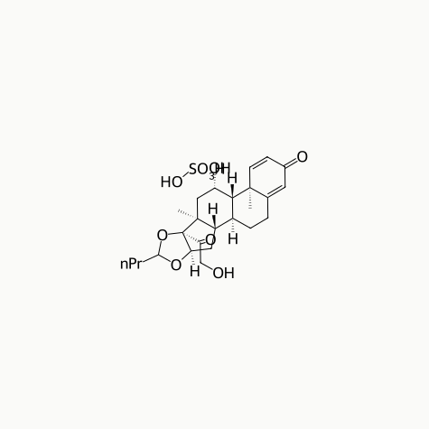 CCCC1O[C@@H]2C[C@H]3[C@@H]4CCC5=CC(=O)C=C[C@]5(C)[C@H]4[C@@H](O)C[C@]3(C)[C@]2(C(=O)CO)O1.O=S(=O)(O)O